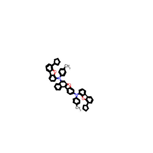 Cc1ccc(N(c2ccc3c(c2)oc2cc(N(c4ccc(C)cc4)c4cccc5c4oc4c(C6CCCC6)cccc45)c4ccccc4c23)c2cccc3c2oc2c(C4CCCC4)cccc23)cc1